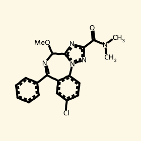 COC1N=C(c2ccccc2)c2cc(Cl)ccc2-n2nc(C(=O)N(C)C)nc21